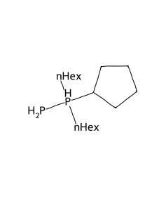 CCCCCC[PH](P)(CCCCCC)C1CCCC1